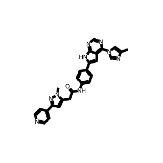 Cc1cn(-c2ncnc3[nH]c(-c4ccc(NC(=O)Cc5cc(-c6ccncc6)nn5C)cc4)cc23)cn1